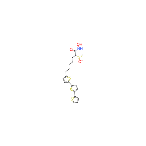 C[S+]([O-])C(CCCCCc1ccc(-c2ccc(-c3cccs3)s2)s1)C(=O)NO